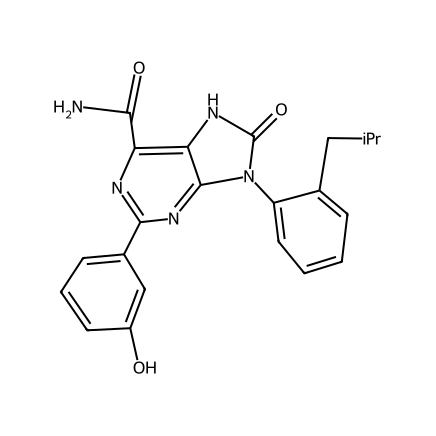 CC(C)Cc1ccccc1-n1c(=O)[nH]c2c(C(N)=O)nc(-c3cccc(O)c3)nc21